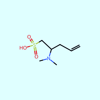 C=CCC(CS(=O)(=O)O)N(C)C